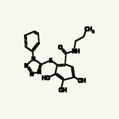 CCCNC(=O)c1cc(O)c(O)c(O)c1Sc1nnnn1-c1ccccc1